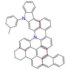 CC1C=C(n2c3ccccc3c3ccc(N(c4cc(-c5cccc6ccccc56)ccc4-c4ccccc4)c4ccccc4-c4cccc5cccc(C6CCCCC6)c45)cc32)C=CC1